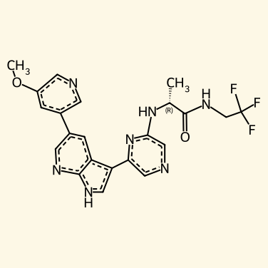 COc1cncc(-c2cnc3[nH]cc(-c4cncc(N[C@H](C)C(=O)NCC(F)(F)F)n4)c3c2)c1